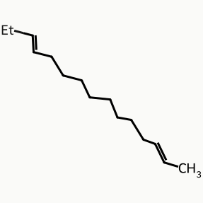 C/C=C/CCCCCCCC/C=C/CC